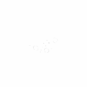 CCc1ccccc1CN1CCN(C2(c3cccc(F)c3)Cc3cc(F)ccc3C2=O)CC1